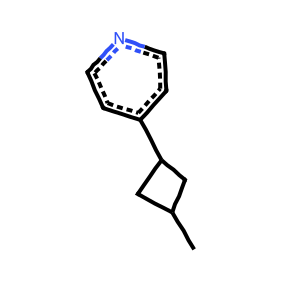 CC1CC(c2ccncc2)C1